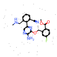 CNCc1cccc(C#N)c1-c1cnc(N)c(O[C@H](C)c2cc(F)ccc2C(=O)OC)n1